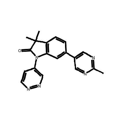 Cc1ncc(-c2ccc3c(c2)N(c2ccnnc2)C(=O)C3(C)C)cn1